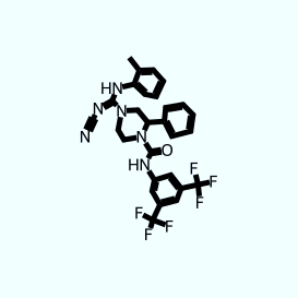 Cc1ccccc1N/C(=N/C#N)N1CCN(C(=O)Nc2cc(C(F)(F)F)cc(C(F)(F)F)c2)C(c2ccccc2)C1